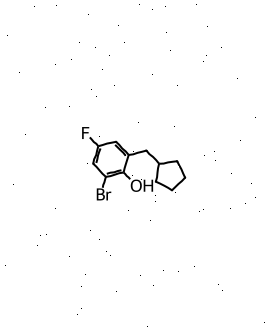 Oc1c(Br)cc(F)cc1CC1CCCC1